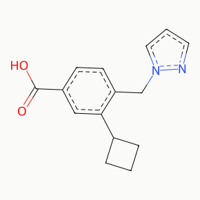 O=C(O)c1ccc(Cn2cccn2)c(C2CCC2)c1